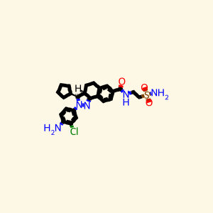 Nc1ccc(N2N=C3c4ccc(C(=O)NCCS(N)(=O)=O)cc4CC[C@@H]3[C@@H]2C2CCCC2)cc1Cl